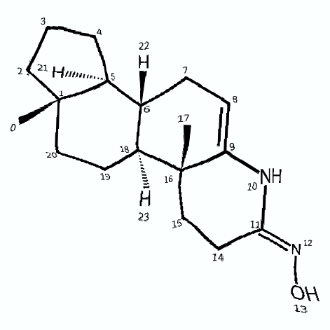 C[C@@]12[CH]CC[C@H]1[C@@H]1CC=C3NC(=NO)CC[C@]3(C)[C@H]1CC2